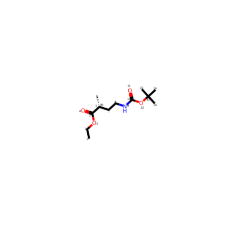 CCOC(=O)[C@H](C)CCNC(=O)OC(C)(C)C